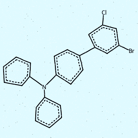 Clc1cc(Br)cc(-c2ccc(N(c3ccccc3)c3ccccc3)cc2)c1